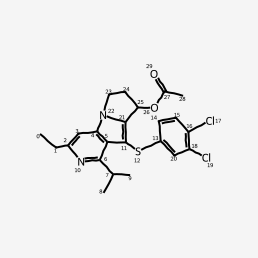 CCc1cc2c(c(C(C)C)n1)c(Sc1ccc(Cl)c(Cl)c1)c1n2CCC1OC(C)=O